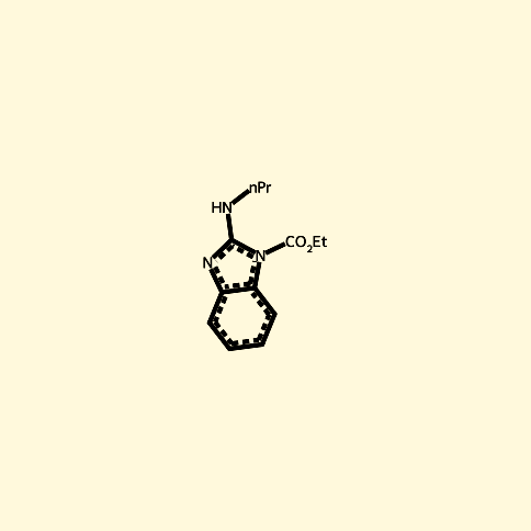 CCCNc1nc2ccccc2n1C(=O)OCC